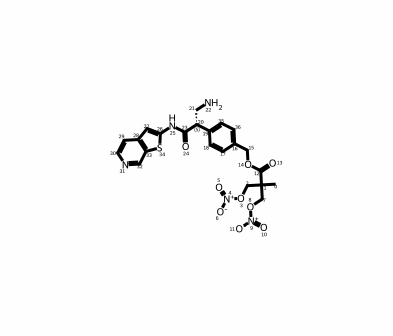 CC(CO[N+](=O)[O-])(CO[N+](=O)[O-])C(=O)OCc1ccc([C@@H](CN)C(=O)Nc2cc3ccncc3s2)cc1